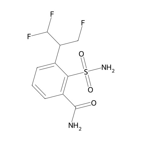 NC(=O)c1cccc(C(CF)C(F)F)c1S(N)(=O)=O